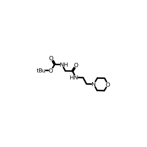 CC(C)(C)OC(=O)NCC(=O)NCCN1CCOCC1